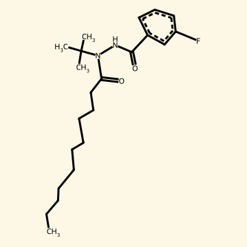 CCCCCCCCCCC(=O)N(NC(=O)c1cccc(F)c1)C(C)(C)C